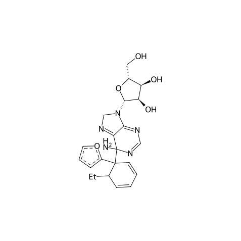 CCC1C=CC=CC1(c1ccco1)C1(N)N=CN=C2C1=NCN2[C@@H]1O[C@H](CO)[C@@H](O)[C@H]1O